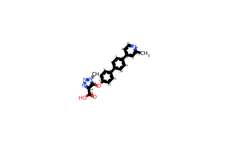 Cc1cc(-c2ccc(-c3ccc(Oc4c(C(=O)O)nnn4C)cc3)cc2)ccn1